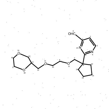 O=Cc1ccnc(C2(COCCOCC3COCCO3)CCCC2)n1